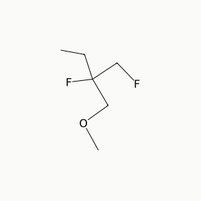 CCC(F)(CF)COC